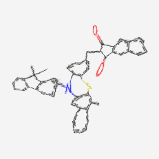 Cc1c2c(cc3ccccc13)N(c1ccc3c(c1)C(C)(C)c1ccccc1-3)c1ccc(C=C3C(=O)c4cc5ccccc5cc4C3=O)cc1S2